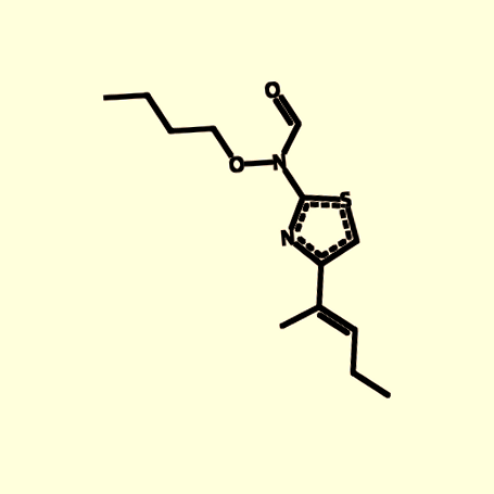 CCC=C(C)c1csc(N(C=O)OCCCC)n1